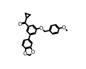 COc1ccc(COc2cc(C(=O)C3CC3)cc(-c3ccc4c(c3)OCO4)c2)cc1